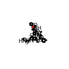 C=C[C@@H]1C[C@]1(NC(=O)[C@@H]1C[C@@H](Oc2cc(-c3csc(NC(C)C)n3)nc3cc(OC)ccc23)CN1C(=O)[C@@H](NC(=O)OC1CCCC1)C(C)(C)C)P(=O)(O)Oc1cccc(C)c1